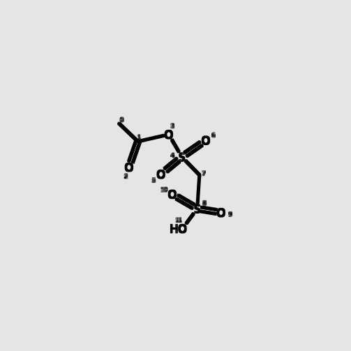 CC(=O)OS(=O)(=O)CS(=O)(=O)O